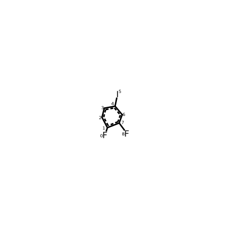 Fc1ccc(I)cc1F